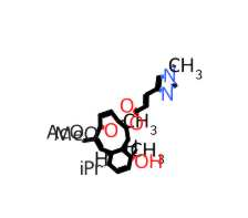 CO[C@]12C=C[C@](C)(O1)[C@@H](OC(=O)/C=C/c1cn(C)cn1)C[C@@H]1[C@H](/C=C\2COC(C)=O)[C@@H](C(C)C)C=C[C@@]1(C)O